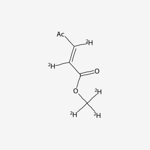 [2H]/C(C(C)=O)=C(/[2H])C(=O)OC([2H])([2H])[2H]